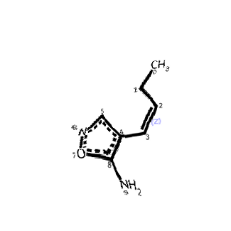 CC/C=C\c1cnoc1N